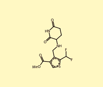 COC(=O)c1csc(C(F)F)c1CNC1CCC(=O)NC1=O